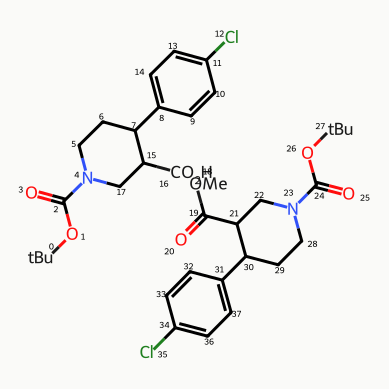 CC(C)(C)OC(=O)N1CCC(c2ccc(Cl)cc2)C(C(=O)O)C1.COC(=O)C1CN(C(=O)OC(C)(C)C)CCC1c1ccc(Cl)cc1